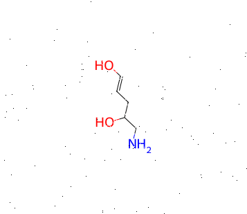 NCC(O)CC=CO